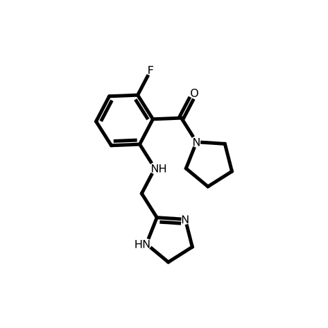 O=C(c1c(F)cccc1NCC1=NCCN1)N1CCCC1